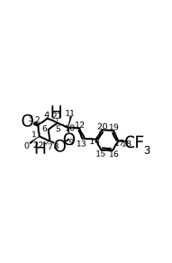 C[C@H]1C(=O)C[C@@H]2C[C@H]1OO[C@@]2(C)C=Cc1ccc(C(F)(F)F)cc1